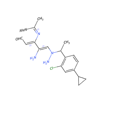 CN\C(C)=N/C(=C\C=O)C(/N)=C/N(N)C(C)c1ccc(C2CC2)cc1Cl